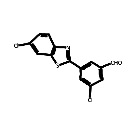 O=Cc1cc(Cl)cc(-c2nc3ccc(Cl)cc3s2)c1